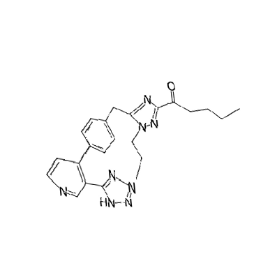 CCCCC(=O)c1nc(Cc2ccc(-c3ccncc3-c3nnn[nH]3)cc2)n(CCC)n1